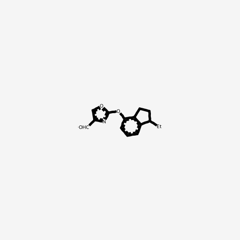 CCC1CCc2c(Oc3nc([C]=O)co3)cccc21